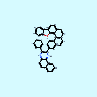 c1ccc(-c2nc3ccc4ccccc4c3nc2-c2ccc3c(ccc4ccc5ccc6c7ccccc7oc6c5c43)c2)cc1